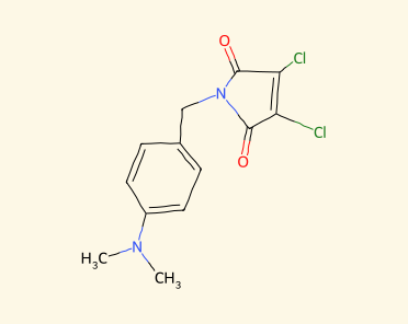 CN(C)c1ccc(CN2C(=O)C(Cl)=C(Cl)C2=O)cc1